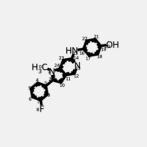 Cn1c(-c2cccc(F)c2)cc2cnc(Nc3ccc(O)cc3)cc21